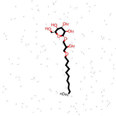 CCCCCCCCCCCCCCCCCCCCOCC(O)CO[C@@H]1O[C@H](CO)[C@H](O)[C@H](O)[C@H]1O